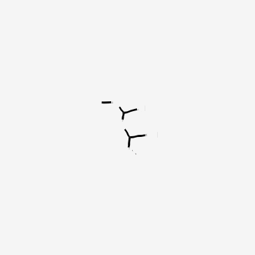 CCOC(C)OC(C)C#N